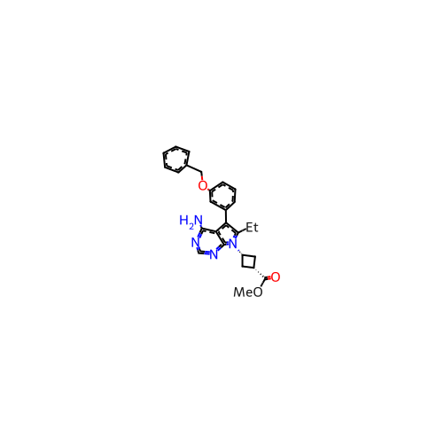 CCc1c(-c2cccc(OCc3ccccc3)c2)c2c(N)ncnc2n1[C@H]1C[C@@H](C(=O)OC)C1